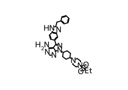 CCS(=O)(=O)N1CCN(C2CCC(n3nc(-c4ccc5[nH]c(Cc6ccccc6)nc5c4)c4c(N)ncnc43)CC2)CC1